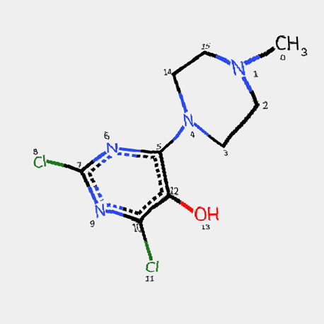 CN1CCN(c2nc(Cl)nc(Cl)c2O)CC1